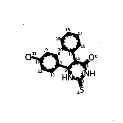 O=c1[nH]c(=S)[nH]c(-c2ccc(Cl)cc2)c1-c1ccccc1